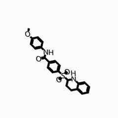 COc1ccc(NC(=O)c2ccc(S(=O)(=O)C3CCc4ccccc4N3)cc2)cc1